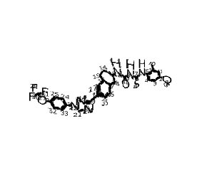 COc1ccc(NC(=S)NC(=O)NC2CCc3cc(-c4ncn(-c5ccc(OC(F)(F)F)cc5)n4)ccc3C2)c(C)c1